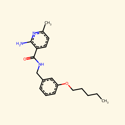 CCCCCOc1cccc(CNC(=O)c2ccc(C)nc2N)c1